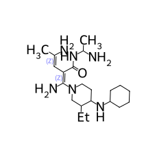 CCC1CN(/C(N)=C(/C=C(/C)N)C(=O)NC(C)N)CCC1NC1CCCCC1